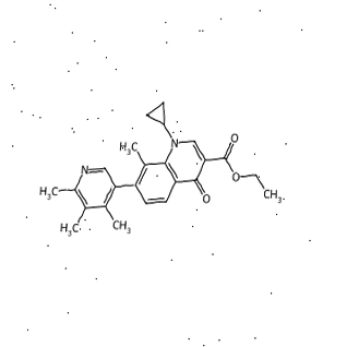 CCOC(=O)c1cn(C2CC2)c2c(C)c(-c3cnc(C)c(C)c3C)ccc2c1=O